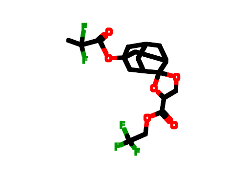 CC(F)(F)C(=O)OC12CC3CC(C1)C1(OCC(C(=O)OCC(F)(F)F)O1)C(C3)C2